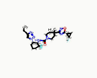 CC(C)Cc1cn([C@H]2CCCC(F)(F)[C@@H]2NC(=O)N2CCC(C)(c3noc([C@@H]4C[C@@H]4F)n3)CC2)nn1